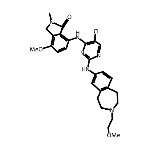 COCCN1CCc2ccc(Nc3ncc(Cl)c(Nc4ccc(OC)c5c4C(=O)N(C)C5)n3)cc2CC1